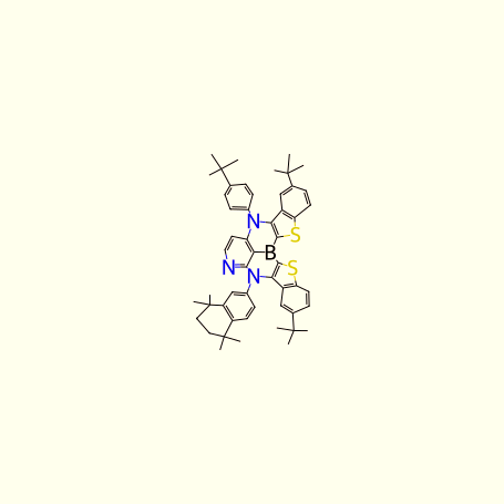 CC(C)(C)c1ccc(N2c3ccnc4c3B(c3sc5ccc(C(C)(C)C)cc5c32)c2sc3ccc(C(C)(C)C)cc3c2N4c2ccc3c(c2)C(C)(C)CCC3(C)C)cc1